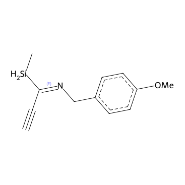 C#C/C(=N\Cc1ccc(OC)cc1)[SiH2]C